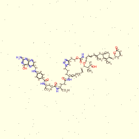 C/C=C/[C@@H]1O[C@H]([C@@H](/C=C/C=C(\C)C[C@@H](C)/C=C(C)\C=C\[C@H]2CC=CC(=O)O2)NC(=O)OCCc2cn(CCC[C@@H](C)NC(=O)CC[C@H](NC(=O)CC[C@H](NC(=O)c3ccc(NCc4cnc5nc(N)nc(O)c5n4)cc3)C(=O)O)C(=O)O)nn2)C[C@@H](O)[C@@H]1C